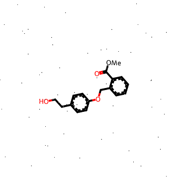 COC(=O)c1ccccc1COc1ccc(CCO)cc1